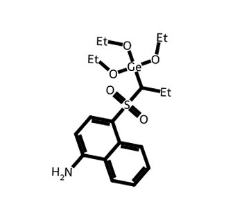 CC[O][Ge]([O]CC)([O]CC)[CH](CC)S(=O)(=O)c1ccc(N)c2ccccc12